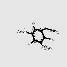 CC(=O)Nc1c(I)c(CN)c(I)c(C(=O)O)c1I